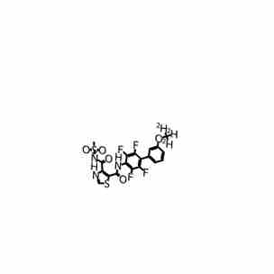 [2H]C([2H])([2H])Oc1cccc(-c2c(F)c(F)c(NC(=O)c3scnc3C(=O)NS(C)(=O)=O)c(F)c2F)c1